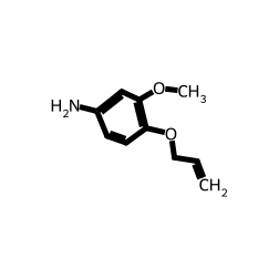 C=CCOc1ccc(N)cc1OC